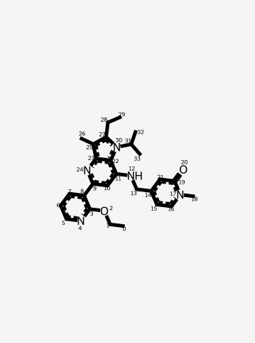 CCOc1ncccc1-c1cc(NCc2ccn(C)c(=O)c2)c2c(n1)c(C)c(CC)n2C(C)C